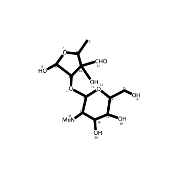 CNC1C(OC2C(O)OC(C)C2(O)C=O)OC(CO)C(O)C1O